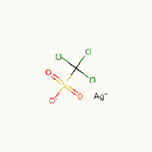 O=S(=O)([O-])C(Cl)(Cl)Cl.[Ag+]